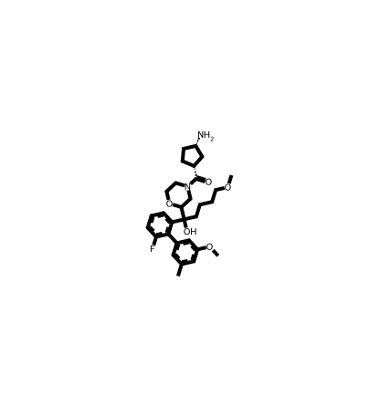 COCCCCC(O)(c1cccc(F)c1-c1cc(C)cc(OC)c1)C1CN(C(=O)[C@@H]2CC[C@H](N)C2)CCO1